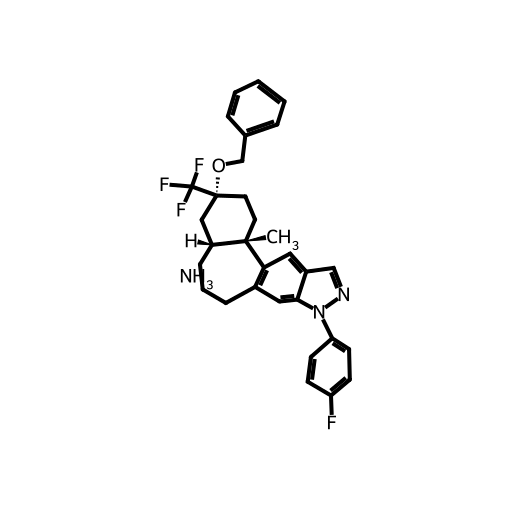 C[C@]12CC[C@](OCc3ccccc3)(C(F)(F)F)C[C@H]1CCCc1cc3c(cnn3-c3ccc(F)cc3)cc12.N